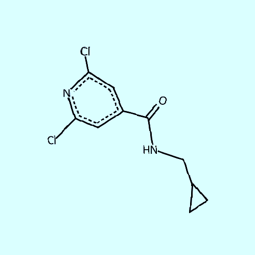 O=C(NCC1CC1)c1cc(Cl)nc(Cl)c1